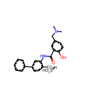 CN(C)Cc1ccc(O)c(C(=O)Nc2cc(-c3ccccc3)ccc2C(=O)O)c1.CS(=O)(=O)O